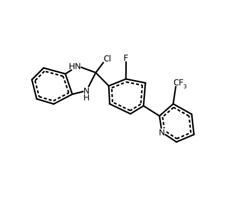 Fc1cc(-c2ncccc2C(F)(F)F)ccc1C1(Cl)Nc2ccccc2N1